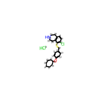 Cl.Clc1ccc2c(c1SCc1ccc(OC3CCCCCC3)cc1)CCNCC2